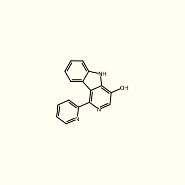 Oc1cnc(-c2ccccn2)c2c1[nH]c1ccccc12